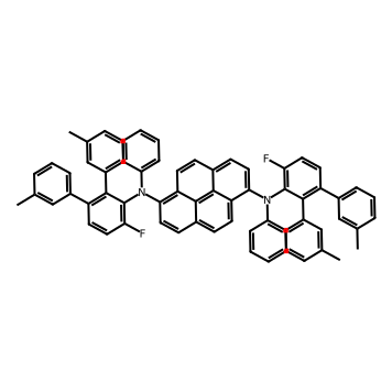 Cc1cccc(-c2ccc(F)c(N(c3ccccc3)c3ccc4ccc5c(N(c6ccccc6)c6c(F)ccc(-c7cccc(C)c7)c6-c6cccc(C)c6)ccc6ccc3c4c65)c2-c2cccc(C)c2)c1